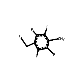 [CH2]c1c(F)c(F)c(CF)c(F)c1F